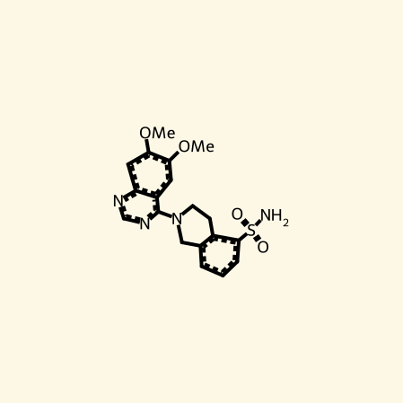 COc1cc2ncnc(N3CCc4c(cccc4S(N)(=O)=O)C3)c2cc1OC